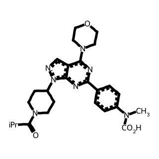 CC(C)C(=O)N1CCC(n2ncc3c(N4CCOCC4)nc(-c4ccc(N(C)C(=O)O)cc4)nc32)CC1